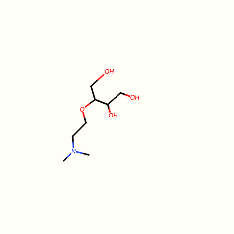 CN(C)CCOC(CO)C(O)CO